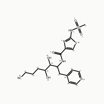 CS(=O)(=O)Nc1nc(C(=O)NC(Cc2ccncc2)C(O)C(O)CCCC#N)cs1